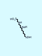 CCCCCCCCCCCCCCCCCCCNCCS(=O)(=O)O.[NaH]